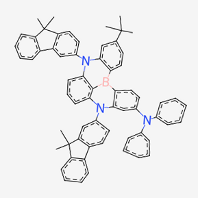 CC(C)(C)c1ccc2c(c1)N(c1ccc3c(c1)-c1ccccc1C3(C)C)c1cccc3c1B2c1ccc(N(c2ccccc2)c2ccccc2)cc1N3c1ccc2c(c1)C(C)(C)c1ccccc1-2